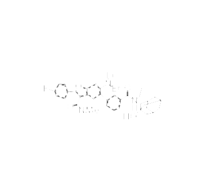 CCN(CC)c1cc2oc(-c3ccc(F)cc3)c(C(=O)NC)c2cc1-c1cccc(C(=O)NC(C)[C@]23CC4CC(C[C@](O)(C4)C2)C3)c1